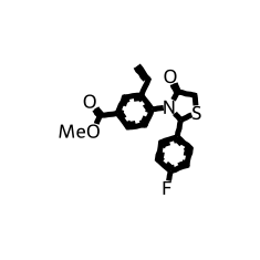 C=Cc1cc(C(=O)OC)ccc1N1C(=O)CSC1c1ccc(F)cc1